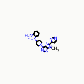 Cn1c(-c2ccncn2)nc2c(N3CCC(Nc4ccccc4N)CC3)ncnc21